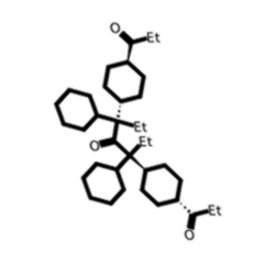 CCC(=O)[C@H]1CC[C@H](C(CC)(C(=O)C(CC)(C2CCCCC2)[C@H]2CC[C@H](C(=O)CC)CC2)C2CCCCC2)CC1